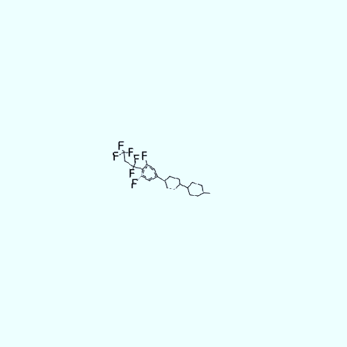 CC1CCC(C2CCC(c3cc(F)c(C(F)(F)CC(F)(F)F)c(F)c3)CC2)CC1